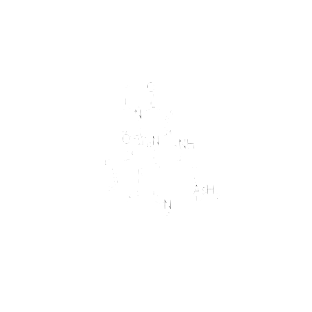 CCn1c(=O)cc(NCC[AsH2])n(Cc2ccccc2C#N)c1=O